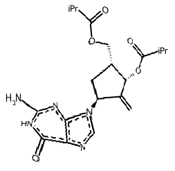 C=C1[C@@H](OC(=O)C(C)C)[C@@H](COC(=O)C(C)C)C[C@@H]1n1cnc2c(=O)[nH]c(N)nc21